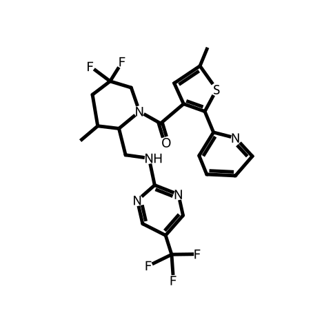 Cc1cc(C(=O)N2CC(F)(F)CC(C)C2CNc2ncc(C(F)(F)F)cn2)c(-c2ccccn2)s1